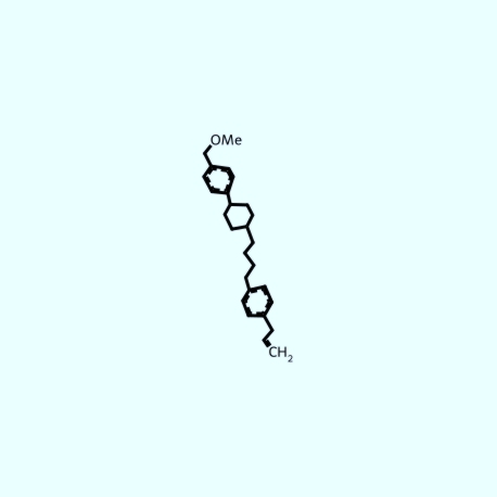 C=CCc1ccc(CCCCC2CCC(c3ccc(COC)cc3)CC2)cc1